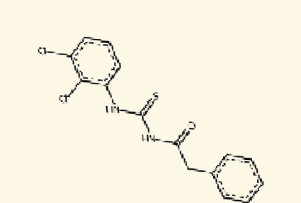 O=C(Cc1ccccc1)NC(=S)Nc1cccc(Cl)c1Cl